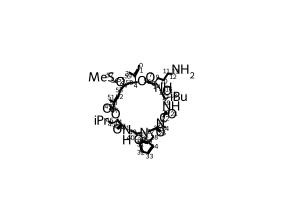 C/C=C(\C)[C@H]1OC(=O)[C@@H](CCCCN)NC(=O)[C@H]([C@H](C)CC)NC(=O)CN(C)C(=O)[C@@H](Cc2ccccc2)N(C)C(=O)[C@H](C)NC(=O)[C@@H](CC(C)C)OC(=O)/C(C)=C/C[C@H](OCSC)[C@@H]1C